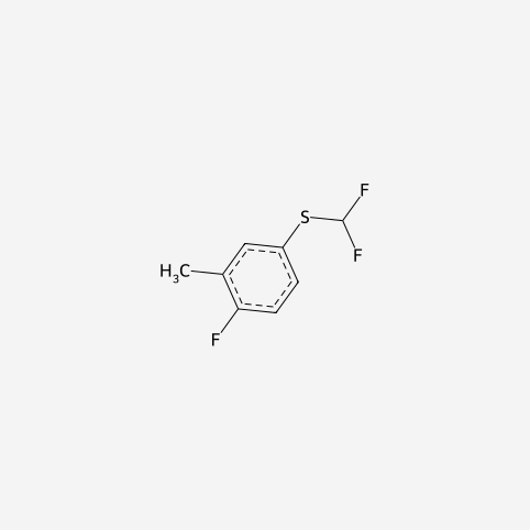 Cc1cc(SC(F)F)ccc1F